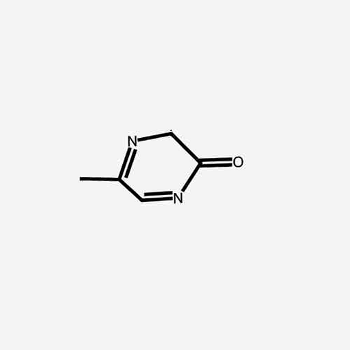 CC1=N[CH]C(=O)N=C1